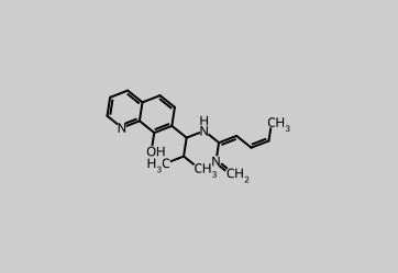 C=N/C(=C\C=C/C)NC(c1ccc2cccnc2c1O)C(C)C